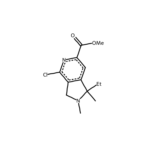 CCC1(C)c2cc(C(=O)OC)nc(Cl)c2CN1C